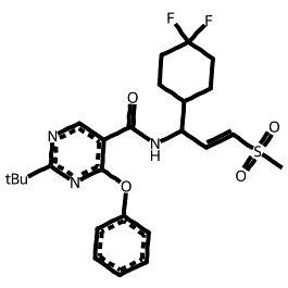 CC(C)(C)c1ncc(C(=O)NC(C=CS(C)(=O)=O)C2CCC(F)(F)CC2)c(Oc2ccccc2)n1